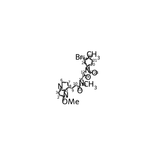 COc1ccc2nccc(C=CC(=O)N(C)CC3CN(c4ccc(C)c(Br)c4)C(=O)O3)c2n1